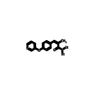 CCN(CC)C(=O)C(C)=Cc1ccc(Oc2cccnc2)cc1